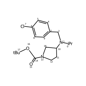 CC(C)N(Cc1ccc(Cl)cc1)C1CCN(C(=O)OC(C)(C)C)C1